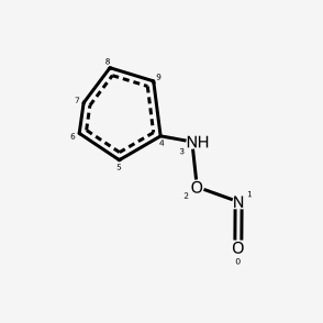 O=NONc1ccccc1